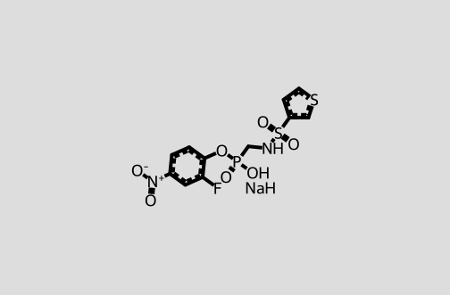 O=[N+]([O-])c1ccc(OP(=O)(O)CNS(=O)(=O)c2ccsc2)c(F)c1.[NaH]